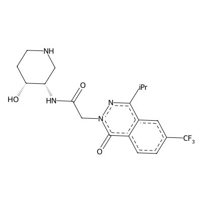 CC(C)c1nn(CC(=O)N[C@H]2CNCC[C@H]2O)c(=O)c2ccc(C(F)(F)F)cc12